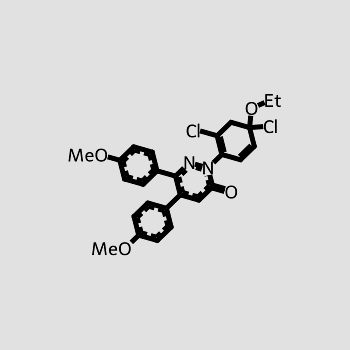 CCOC1(Cl)C=CC(n2nc(-c3ccc(OC)cc3)c(-c3ccc(OC)cc3)cc2=O)=C(Cl)C1